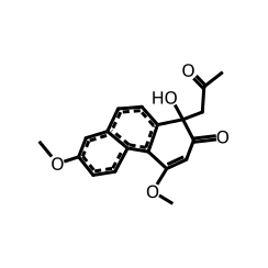 COC1=CC(=O)C(O)(CC(C)=O)c2ccc3cc(OC)ccc3c21